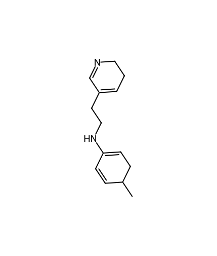 CC1C=CC(NCCC2=CCCN=C2)=CC1